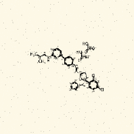 CC(C)CNc1nccc(-c2ccc(OC[C@@H]3CO[C@@](Cn4ccnc4)(c4ccc(Cl)cc4Cl)O3)cc2)n1.O=[N+]([O-])O.O=[N+]([O-])O